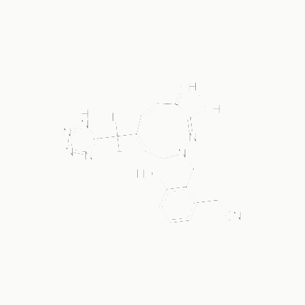 C=C1/C=C\C(C(F)(F)c2nnn[nH]2)=C/CN(Cc2c(C)cccc2CC#N)/N=C\1C